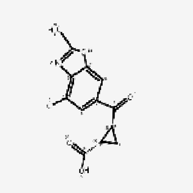 Cc1nc2c(Cl)cc(C(=O)[C@H]3C[C@@H]3C(=O)O)cc2o1